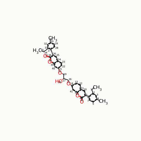 CCc1cc(C)ccc1-c1cc2ccc(OCC(O)COc3ccc4cc(-c5ccc(C)cc5CC)c(=O)oc4c3)cc2oc1=O